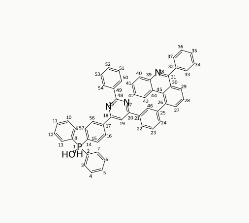 O[PH](c1ccccc1)(c1ccccc1)c1ccc(-c2cc(-c3cccc(-c4cccc5c(-c6ccccc6)nc6ccccc6c45)c3)nc(-c3ccccc3)n2)cc1